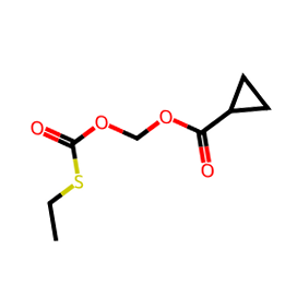 CCSC(=O)OCOC(=O)C1CC1